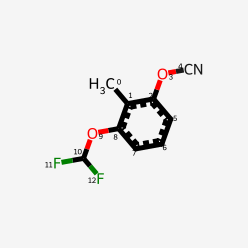 Cc1c(OC#N)cccc1OC(F)F